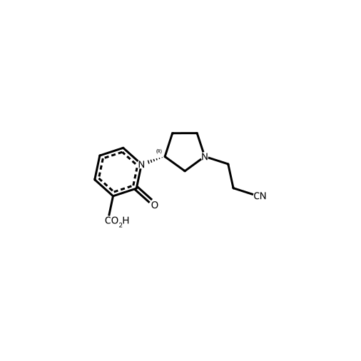 N#CCCN1CC[C@@H](n2cccc(C(=O)O)c2=O)C1